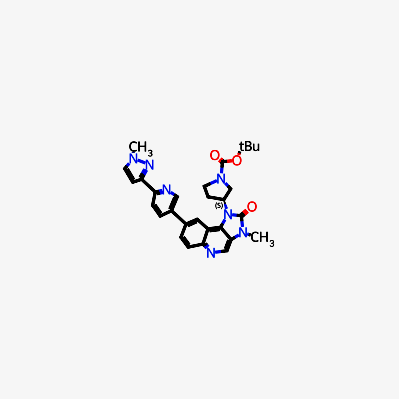 Cn1ccc(-c2ccc(-c3ccc4ncc5c(c4c3)n([C@H]3CCN(C(=O)OC(C)(C)C)C3)c(=O)n5C)cn2)n1